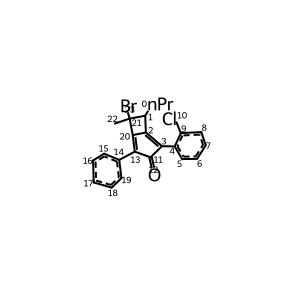 CCCC1C2=C(c3ccccc3Cl)C(=O)C(c3ccccc3)=C2C1(C)Br